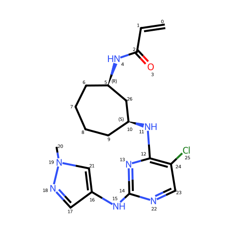 C=CC(=O)N[C@@H]1CCCC[C@H](Nc2nc(Nc3cnn(C)c3)ncc2Cl)C1